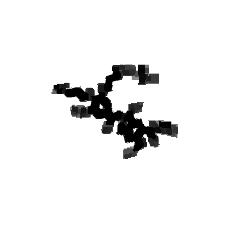 Br.CCOc1cc2c(cc1C(=O)NC)C(=N)N(CC(=O)c1cc(OCCCC(=O)O)c(OCCCC#N)c(C(C)(C)C)c1)C2